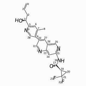 C=CC[C@H](O)c1cc(C)c(-c2cnc3cc(NC(=O)[C@H]4CC4(F)F)ncc3c2)cn1